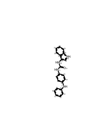 O=C(Nc1ccc(Nc2ccccc2)cc1)Nc1c[nH]c2ccccc12